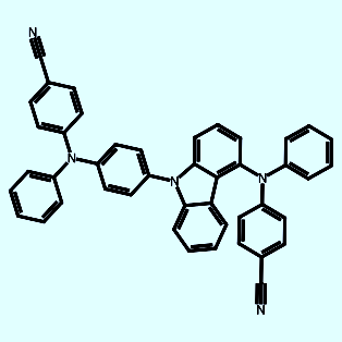 N#Cc1ccc(N(c2ccccc2)c2ccc(-n3c4ccccc4c4c(N(c5ccccc5)c5ccc(C#N)cc5)cccc43)cc2)cc1